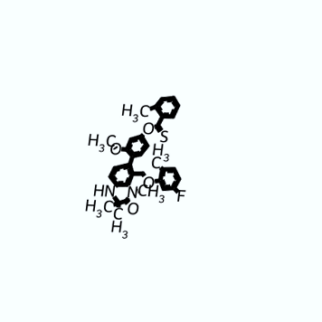 COc1cc(OC(=S)c2ccccc2C)ccc1-c1ccc2c(c1COc1cc(F)ccc1C)N(C)C(=O)C(C)(C)N2